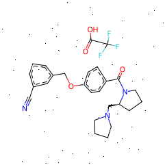 N#Cc1cccc(COc2ccc(C(=O)N3CCC[C@H]3CN3CCCC3)cc2)c1.O=C(O)C(F)(F)F